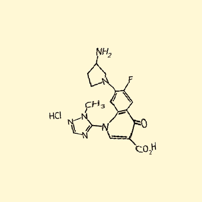 Cl.Cn1ncnc1-n1cc(C(=O)O)c(=O)c2cc(F)c(N3CCC(N)C3)cc21